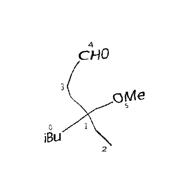 CCC(C)C(C)(CC=O)OC